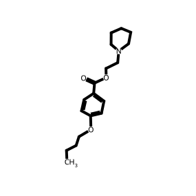 CCCCOc1ccc(C(=O)OCCN2CCCCC2)cc1